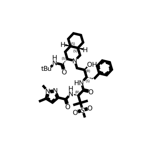 Cc1cc(C(=O)N[C@H](C(=O)N[C@@H](Cc2ccccc2)[C@H](O)CN2C[C@H]3CCCC[C@H]3C[C@H]2C(=O)NC(C)(C)C)C(C)(C)S(C)(=O)=O)nn1C